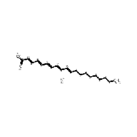 CCCCCCCCCC=CC=CC=CC=CC=CC(=O)[O-].[K+]